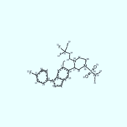 Cc1cc2c(cnn2-c2ccc(F)cc2)cc1C1CN(S(=O)(=O)N(C)C)CCN1CCC(F)(F)F